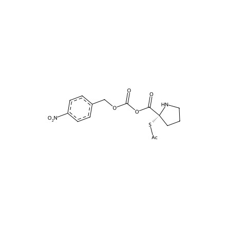 CC(=O)S[C@@]1(C(=O)OC(=O)OCc2ccc([N+](=O)[O-])cc2)CCCN1